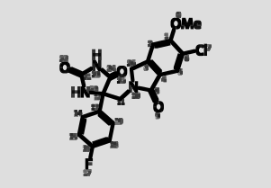 COc1cc2c(cc1Cl)C(=O)N(CC1(c3ccc(F)cc3)NC(=O)NC1=O)C2